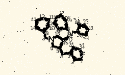 c1ccc(CC2CN(Cc3ccccc3)CC2CN(c2ccccc2)c2ccccc2)cc1